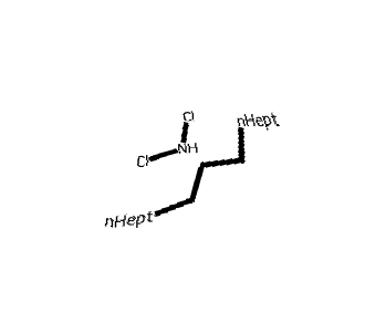 CCCCCCCCCCCCCCCCC.ClNCl